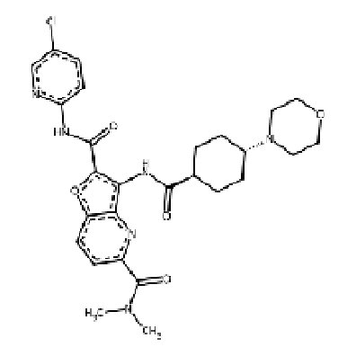 CN(C)C(=O)c1ccc2oc(C(=O)Nc3ccc(Cl)cn3)c(NC(=O)[C@H]3CC[C@H](N4CCOCC4)CC3)c2n1